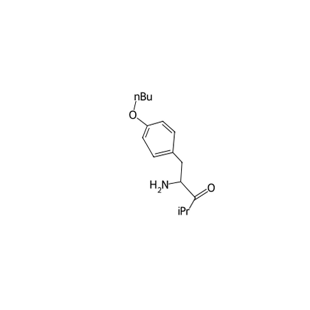 CCCCOc1ccc(CC(N)C(=O)C(C)C)cc1